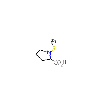 CC(C)SN1CCCC1C(=O)O